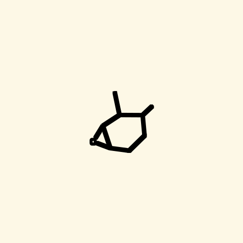 CC1CCC2OC2C1C